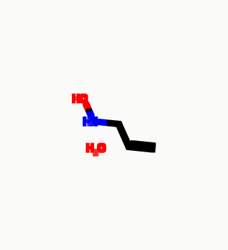 C=CCNO.O